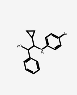 OC(c1ccccc1)C(Nc1ccc(Br)cc1)C1CC1